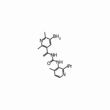 Bc1cc(C(=C)NC(=O)Nc2c(C)ccnc2C(C)C)c(C)nc1C